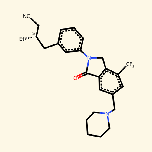 CC[C@H](CC#N)Cc1cccc(N2Cc3c(cc(CN4CCCCC4)cc3C(F)(F)F)C2=O)c1